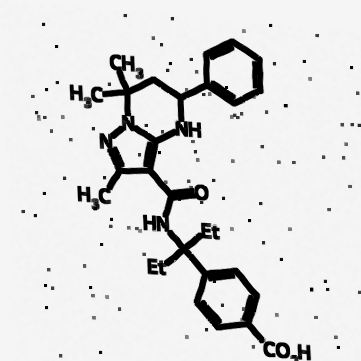 CCC(CC)(NC(=O)c1c(C)nn2c1NC(c1ccccc1)CC2(C)C)c1ccc(C(=O)O)cc1